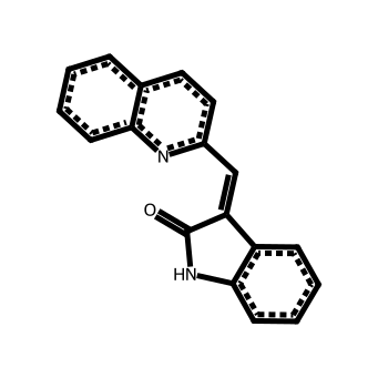 O=C1Nc2ccccc2C1=Cc1ccc2ccccc2n1